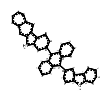 c1ccc2cc3c(cc2c1)[nH]c1cc(-c2c4ccccc4c(-c4ccc5oc6ccccc6c5c4)c4ccccc24)ccc13